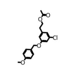 COc1ccc(COc2cc(Cl)cc(CCOC(C)=O)c2)cc1